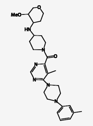 COC1COCCC1NC1CCN(C(=O)c2ncnc(N3CCN(c4cccc(C)c4)CC3)c2C)CC1